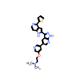 CN(C)CCOc1cncc(-c2cnc3[nH]nc(-c4cc5c(-c6cccs6)nccc5[nH]4)c3c2)c1